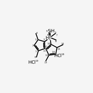 CC1=CC(C)[C]([Hf]([CH3])([CH3])(=[SiH2])[C]2=CC(C)=CC2C)=C1.Cl.Cl